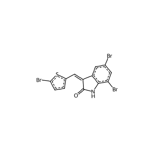 O=C1Nc2c(Br)cc(Br)cc2C1=Cc1ccc(Br)s1